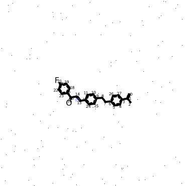 C=C(C)c1ccc(CCc2ccc(/C=C/C(=O)c3ccc(F)cc3)cc2)cc1